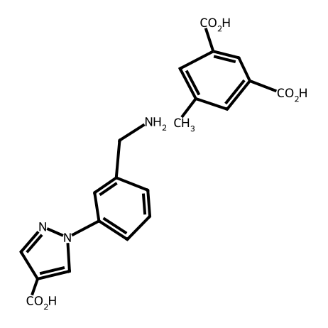 Cc1cc(C(=O)O)cc(C(=O)O)c1.NCc1cccc(-n2cc(C(=O)O)cn2)c1